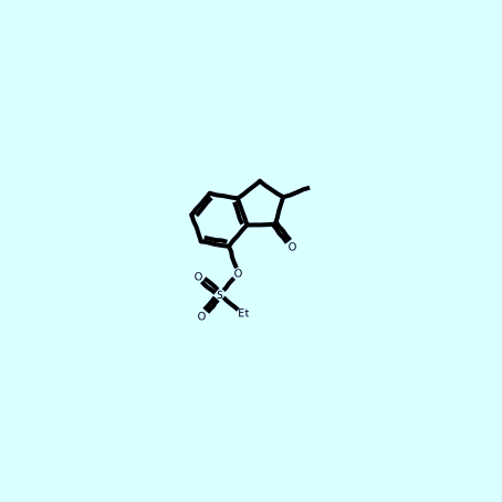 CCS(=O)(=O)Oc1cccc2c1C(=O)C(C)C2